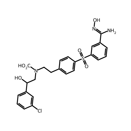 NC(=NO)c1cccc(S(=O)(=O)c2ccc(CCN(CC(O)c3cccc(Cl)c3)C(=O)O)cc2)c1